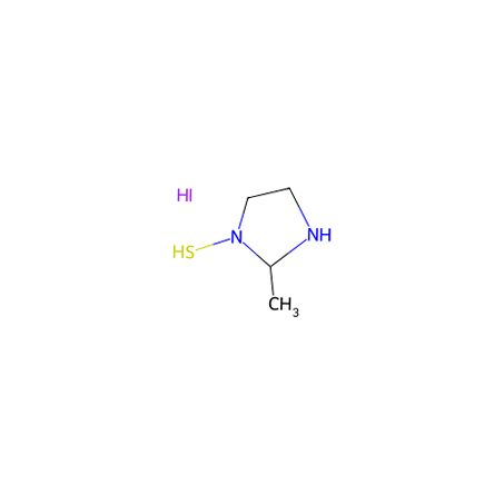 CC1NCCN1S.I